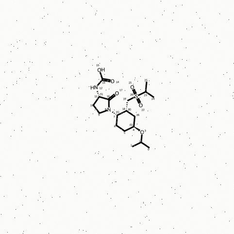 CC(C)O[C@H]1CC[C@H](N2CC[C@H](NC(=O)O)C2=O)[C@H](CS(=O)(=O)C(C)C)C1